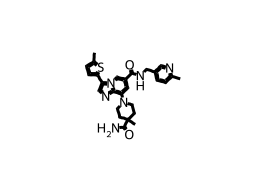 Cc1ccc(CNC(=O)c2cc(N3CCC(C)(C(N)=O)CC3)c3ncc(-c4ccc(C)s4)n3c2)cn1